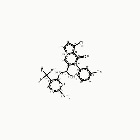 CC(Nc1nc(N)ncc1C(F)(F)F)c1cn2ccc(Cl)c2c(=O)n1-c1cccc(F)c1